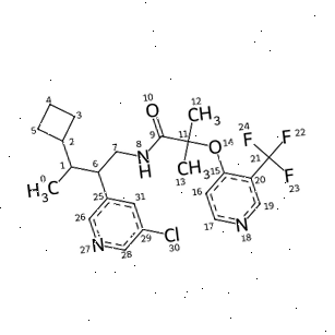 CC(C1CCC1)C(CNC(=O)C(C)(C)Oc1ccncc1C(F)(F)F)c1cncc(Cl)c1